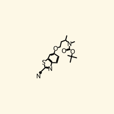 CC(CCOc1ccc2nc(C#N)sc2c1)N(C)C(=O)OC(C)(C)C